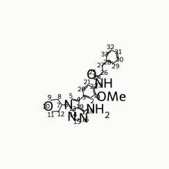 COc1cc(-c2cn(C3CCOCC3)c3ncnc(N)c23)ccc1NC(=O)CCc1ccccc1